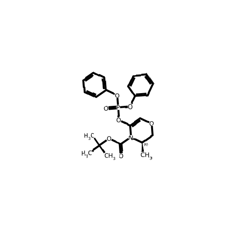 C[C@@H]1COC=C(OP(=O)(Oc2ccccc2)Oc2ccccc2)N1C(=O)OC(C)(C)C